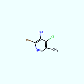 Cc1cnc(Br)c(N)c1Cl